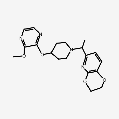 COc1nccnc1OC1CCN(C(C)c2ccc3c(n2)OCCO3)CC1